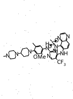 COc1cc(N2CCC(N3CCN(C)CC3)CC2)c(C)cc1Nc1ncc(C(F)(F)F)c(Nc2ccc3nccnc3c2NS(C)(=O)=O)n1